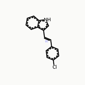 Clc1ccc(/C=C/c2c[nH]c3ccccc23)cc1